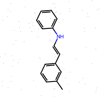 Cc1cccc(/C=C/Nc2ccccc2)c1